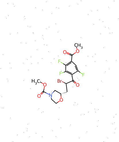 COC(=O)c1cc(F)c(C(=O)C(Br)C[C@H]2CN(C(=O)OC)CCO2)c(F)c1F